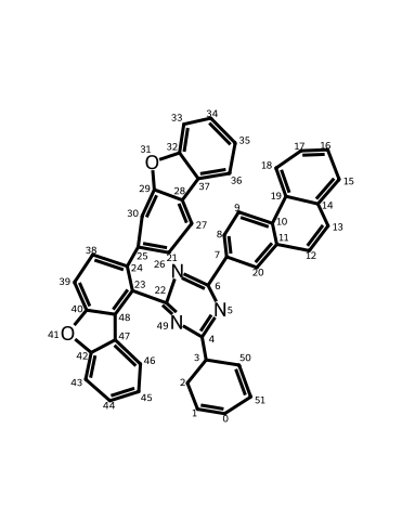 C1=CCC(c2nc(-c3ccc4c(ccc5ccccc54)c3)nc(-c3c(-c4ccc5c(c4)oc4ccccc45)ccc4oc5ccccc5c34)n2)C=C1